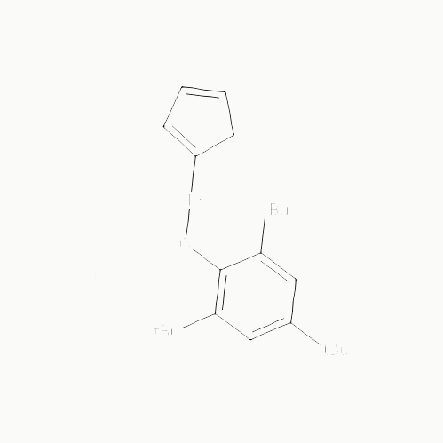 CC(C)(C)c1cc(C(C)(C)C)c([O][Ti+2][C]2=CC=CC2)c(C(C)(C)C)c1.[I-].[I-]